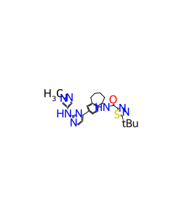 Cn1cc(Nc2nccc(-c3ccc4c(c3)CCCCC4NC(=O)c3nnc(C(C)(C)C)s3)n2)cn1